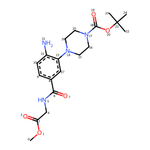 COC(=O)CNC(=O)c1ccc(N)c(N2CCN(C(=O)OC(C)(C)C)CC2)c1